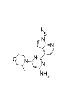 CC1COCCN1c1cc(N)nc(-c2ccnc3c2ccn3SI)n1